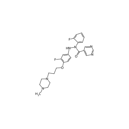 CN1CCN(CCCOc2ccc(NN(C(=O)c3cncnc3)c3ccccc3F)cc2F)CC1